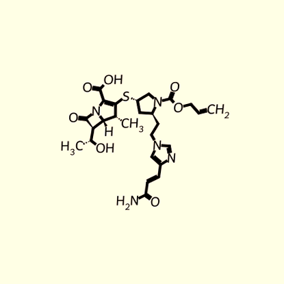 C=CCOC(=O)N1C[C@@H](SC2=C(C(=O)O)N3C(=O)[C@H]([C@@H](C)O)[C@H]3[C@H]2C)C[C@@H]1CCn1cnc(C=CC(N)=O)c1